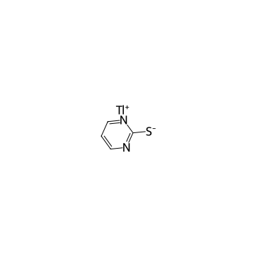 [S-]c1ncccn1.[Tl+]